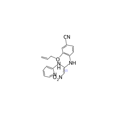 C=CCOc1cc(C#N)ccc1N/C(=C/[N+](=O)[O-])Nc1ccccn1